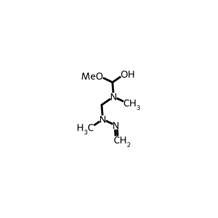 C=NN(C)CN(C)C(O)OC